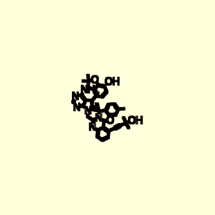 Cc1ccc(C2(n3c(Cn4nc(-c5ccc(O)c6c5CC(C)(C)O6)c5c(N)ncnc54)nc4cccc(C#CC(C)(C)O)c4c3=O)CC2)cc1